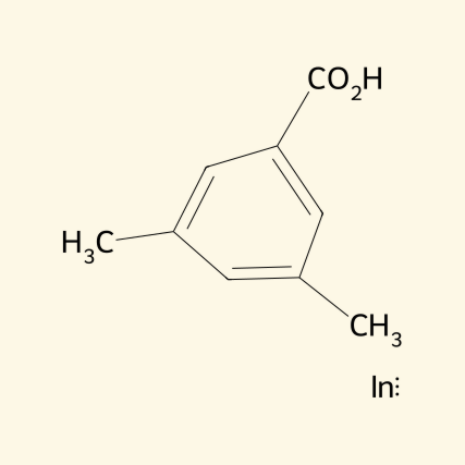 Cc1cc(C)cc(C(=O)O)c1.[In]